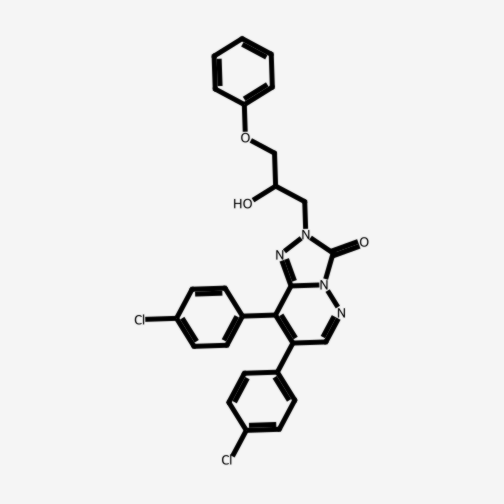 O=c1n(CC(O)COc2ccccc2)nc2c(-c3ccc(Cl)cc3)c(-c3ccc(Cl)cc3)cnn12